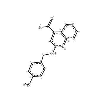 CCC(=O)c1cc(NCc2ccc(OC)cc2)nc2ccccc12